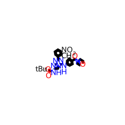 Cc1c(-c2nc(Nc3ccc(C(=O)N4CCOCC4)cc3)n3cc(NC(=O)OC(C)(C)C)nc3n2)cccc1[N+](=O)[O-]